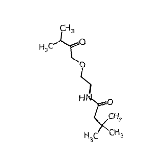 CC(C)C(=O)COCCNC(=O)CC(C)(C)C